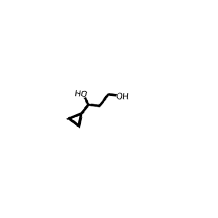 OCCC(O)C1CC1